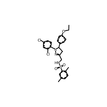 CCOc1ccc(C2CC(CNS(=O)(=O)c3cc(C)ccc3C)=NN2c2ccc(Cl)cc2Cl)cc1